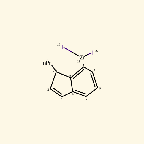 CCC[C]1C=Cc2ccccc21.[I][Zr][I]